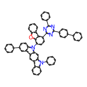 c1ccc(-c2ccc(-c3nc(-c4ccccc4)nc(-c4ccc(-n5c6ccc(-c7ccccc7)cc6c6cc7c8ccccc8n(-c8ccccc8)c7cc65)c5oc6ccccc6c45)n3)cc2)cc1